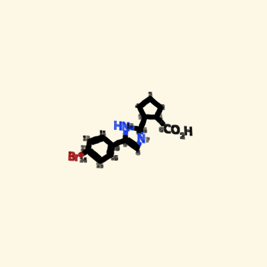 O=C(O)C1CCCC1c1ncc(-c2ccc(Br)cc2)[nH]1